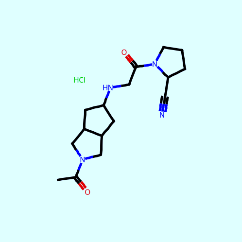 CC(=O)N1CC2CC(NCC(=O)N3CCCC3C#N)CC2C1.Cl